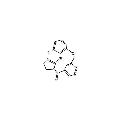 Cc1cncc(C(=O)N2CCN=C2Nc2c(Cl)cccc2Cl)c1